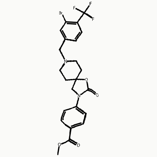 COC(=O)c1ccc(N2CC3(CCN(Cc4ccc(C(F)(F)F)c(Br)c4)CC3)OC2=O)cc1